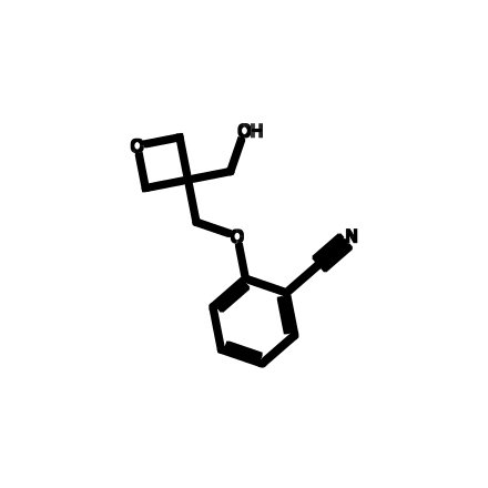 N#Cc1ccccc1OCC1(CO)COC1